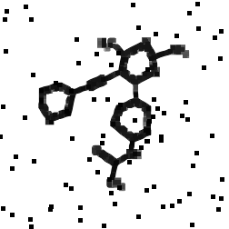 CC(=O)Nc1ccc(-c2nc(N)nc(C)c2C#Cc2cccnc2)cc1